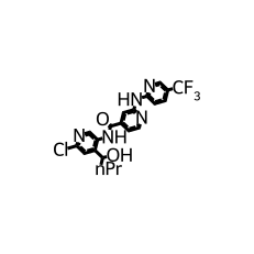 CCCC(O)c1cc(Cl)ncc1NC(=O)c1ccnc(Nc2ccc(C(F)(F)F)cn2)c1